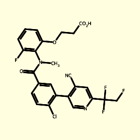 CN(C(=O)c1ccc(Cl)c(-c2cnc(C(F)(F)CF)cc2C#N)c1)c1c(F)cccc1OCCC(=O)O